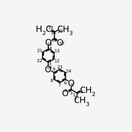 C=C(C)C(=O)Oc1ccc(Oc2ccc(OC(=O)C(=C)C)cc2)cc1